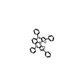 c1ccc(-c2cc3c(o2)B2c4oc(-c5ccccc5)cc4N(c4ccccc4)c4cccc(c42)N3c2ccccc2)cc1